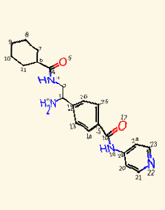 NC(CNC(=O)C1CCCCC1)c1ccc(C(=O)Nc2ccncc2)cc1